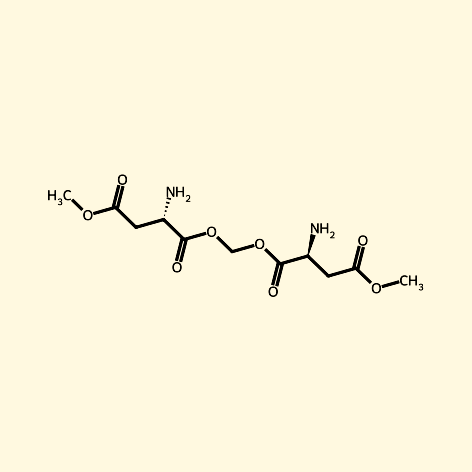 COC(=O)C[C@H](N)C(=O)OCOC(=O)[C@@H](N)CC(=O)OC